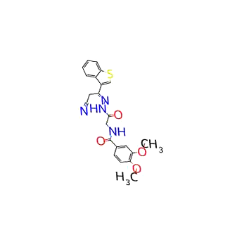 COc1ccc(C(=O)NCC(=O)N/N=C(\CC#N)c2csc3ccccc23)cc1OC